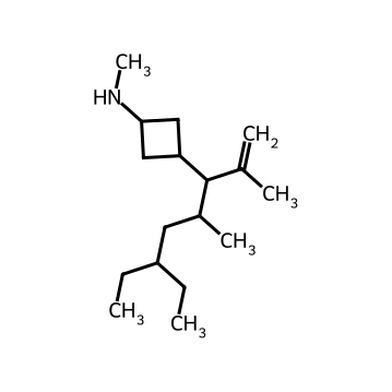 C=C(C)C(C(C)CC(CC)CC)C1CC(NC)C1